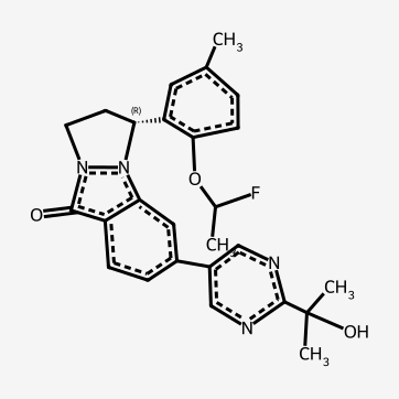 Cc1ccc(OC(C)F)c([C@H]2CCn3c(=O)c4ccc(-c5cnc(C(C)(C)O)nc5)cc4n32)c1